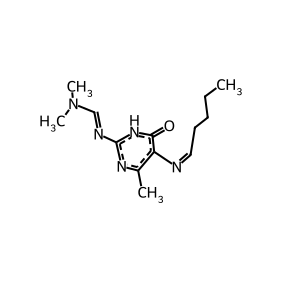 CCCC/C=N\c1c(C)nc(/N=C/N(C)C)[nH]c1=O